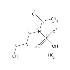 CCCCN(C(C)Cl)S(=O)(=O)O.Cl